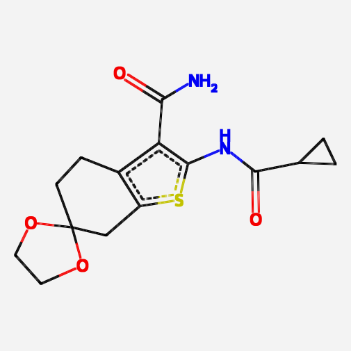 NC(=O)c1c(NC(=O)C2CC2)sc2c1CCC1(C2)OCCO1